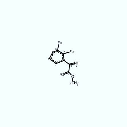 COC(=O)C(=N)c1cccc(F)c1F